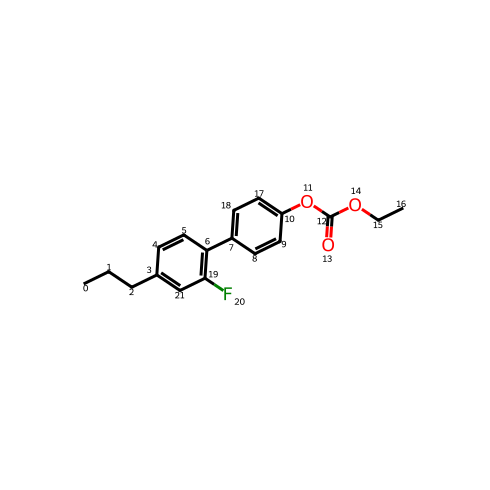 CCCc1ccc(-c2ccc(OC(=O)OCC)cc2)c(F)c1